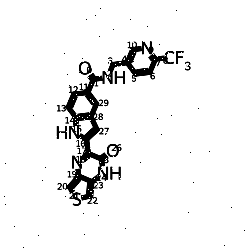 O=C(NCc1ccc(C(F)(F)F)nc1)c1ccc2[nH]c(-c3nc4cscc4[nH]c3=O)cc2c1